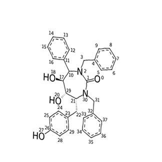 O=C1N(Cc2ccccc2)C(c2ccccc2)[C@H](O)[C@@H](O)[C@@H](Cc2ccc(O)cc2)N1Cc1ccccc1